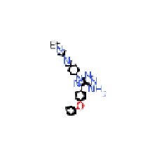 CCN1CC(N2CC3(CCC(n4nc(-c5ccc(Oc6ccccc6)cc5)c5c(N)ncnc54)CC3)C2)C1